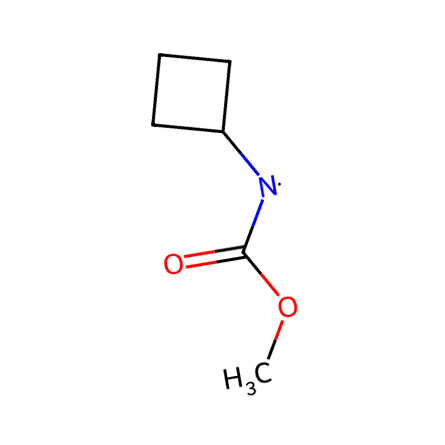 COC(=O)[N]C1CCC1